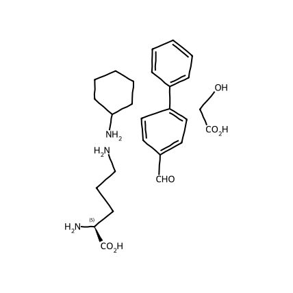 NC1CCCCC1.NCCC[C@H](N)C(=O)O.O=C(O)CO.O=Cc1ccc(-c2ccccc2)cc1